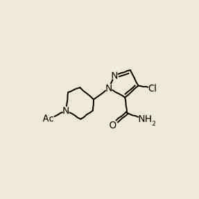 CC(=O)N1CCC(n2ncc(Cl)c2C(N)=O)CC1